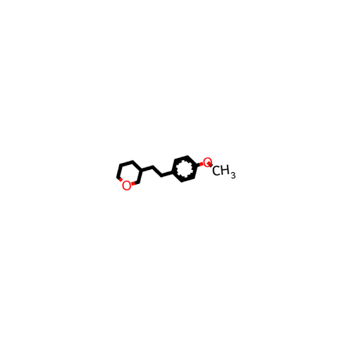 COc1ccc(CCC2CCCOC2)cc1